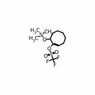 C[Si](C)(C)OC1CCCCCC=C1OS(=O)(=O)C(F)(F)F